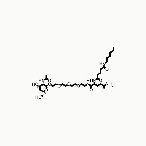 CCCCCCNC(=O)CCCC(=O)NC(CCC(N)=O)C(=O)NCCOCCOCCOCCO[C@@H]1O[C@H](CO)C[C@H](O)[C@H]1NC(C)=O